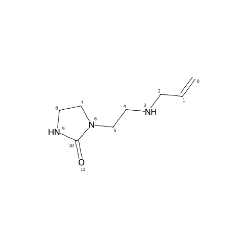 C=CCNCCN1CCNC1=O